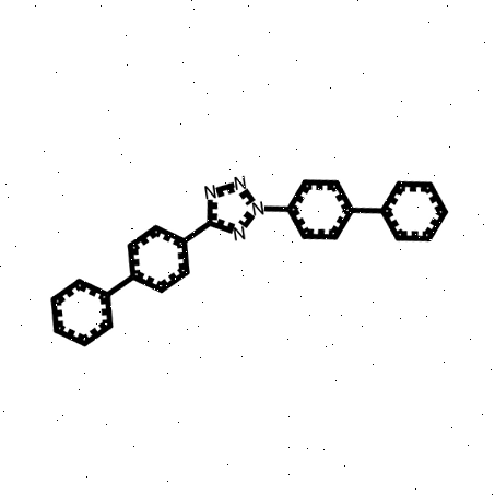 c1ccc(-c2ccc(-c3nnn(-c4ccc(-c5ccccc5)cc4)n3)cc2)cc1